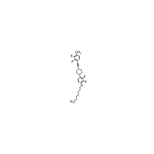 CCCCCCCOc1ccc(C2CCC(C#Cc3ccc(C)c(F)c3F)CC2)c(F)c1F